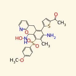 COc1ccc(S(=O)(=O)c2c(C)c(N)c(-c3ccc(C(C)=O)s3)c(Cc3cccnc3)c2C(=O)NO)cc1